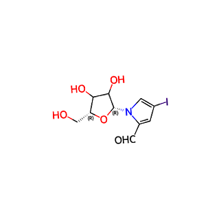 O=Cc1cc(I)cn1[C@@H]1O[C@H](CO)C(O)C1O